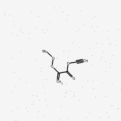 C#COC(=O)C(=C)OOC(C)(C)C